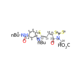 CCCCNC(=O)c1ccc2c(c1)N(CCCC)/C(=C/C=C1/SC(=S)N(CC(=O)O)C1=O)S2